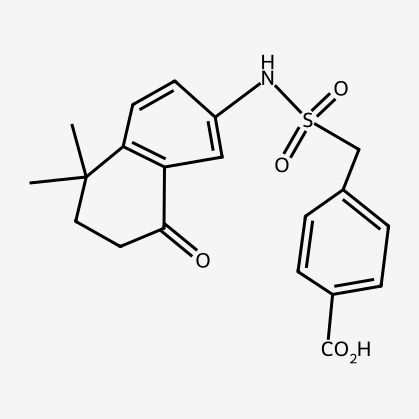 CC1(C)CCC(=O)c2cc(NS(=O)(=O)Cc3ccc(C(=O)O)cc3)ccc21